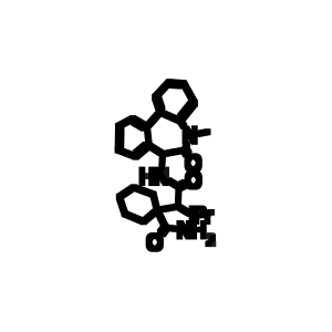 CC(C)C(C(=O)NC1C(=O)N(C)c2ccccc2-c2ccccc21)C1(C(N)=O)CCCCC1